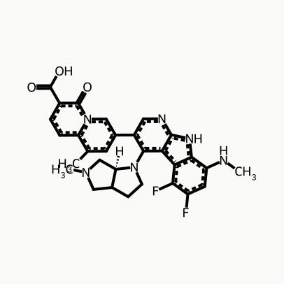 CNc1cc(F)c(F)c2c1[nH]c1ncc(-c3cc(C)c4ccc(C(=O)O)c(=O)n4c3)c(N3CCC4CN(C)C[C@H]43)c12